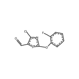 O=Cc1sc(Oc2ccccc2F)nc1Cl